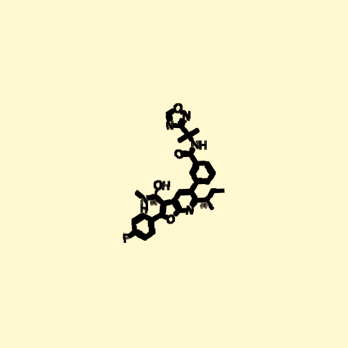 CC[C@@H](C)c1nc2oc(-c3ccc(F)cc3)c([C@@H](O)NC)c2cc1-c1cccc(C(=O)NC(C)(C)c2ncon2)c1